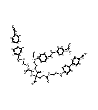 CCN(CCOC(=O)C(C#N)(CCC(=O)OCCOc1ccc(-c2ccc(C#N)cc2)cc1)CCC(=O)OCCOc1ccc(-c2ccc(C#N)cc2)cc1)c1ccc(/N=N/c2ccc([N+](=O)[O-])cc2)cc1